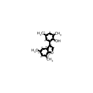 Cc1cc(C)c(O)c(-c2coc3c(C)cc(C)cc23)c1